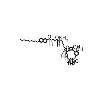 CCCCCCCCCCc1ccc2cc(C(=O)NCCC(=O)NC(N)CCCCC(=O)N(C)[C@@H]3C(=O)N[C@@H](C)C(=O)N[C@H](C(=O)O)Cc4ccc(O)c(c4)-c4cc3ccc4O)ccc2c1